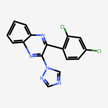 Clc1ccc(-c2nc3ccccc3nc2-n2cncn2)c(Cl)c1